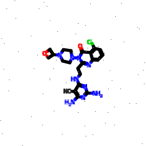 N#Cc1c(N)nc(N)nc1NCCc1nc2cccc(Cl)c2c(=O)n1N1CCN(C2COC2)CC1